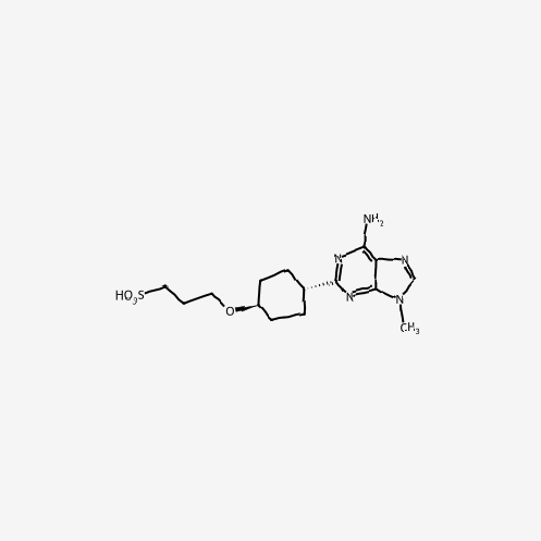 Cn1cnc2c(N)nc([C@H]3CC[C@H](OCCCS(=O)(=O)O)CC3)nc21